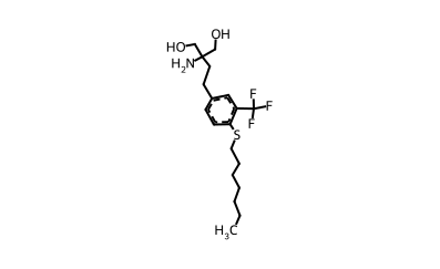 CCCCCCCSc1ccc(CCC(N)(CO)CO)cc1C(F)(F)F